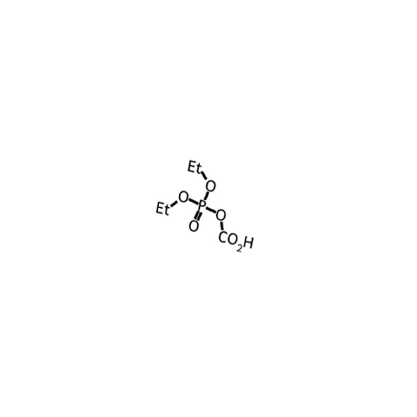 CCOP(=O)(OCC)OC(=O)O